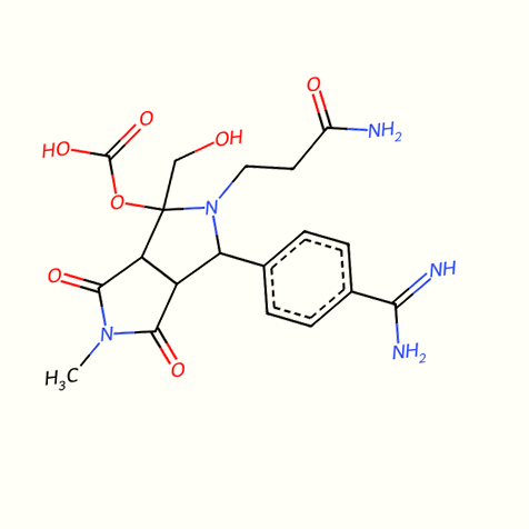 CN1C(=O)C2C(c3ccc(C(=N)N)cc3)N(CCC(N)=O)C(CO)(OC(=O)O)C2C1=O